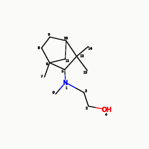 CN(CCO)C1C2(C)CCC(C2)C1(C)C